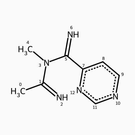 CC(=N)N(C)C(=N)c1ccncn1